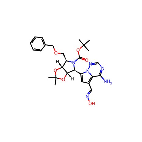 CC(C)(C)OC(=O)N1[C@H](COCc2ccccc2)[C@H]2OC(C)(C)O[C@H]2[C@@H]1c1cc(/C=N/O)c2c(N)ncnn12